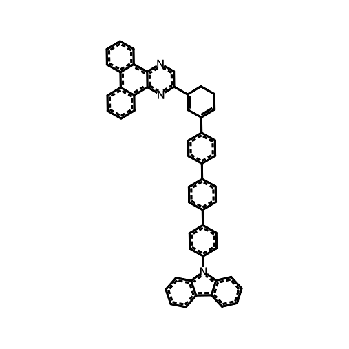 C1=C(c2ccc(-c3ccc(-c4ccc(-n5c6ccccc6c6ccccc65)cc4)cc3)cc2)C=C(c2cnc3c4ccccc4c4ccccc4c3n2)CC1